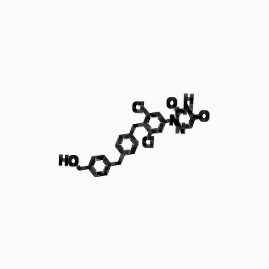 O=c1cnn(-c2cc(Cl)c(Cc3ccc(Cc4ccc(CO)cc4)cc3)c(Cl)c2)c(=O)[nH]1